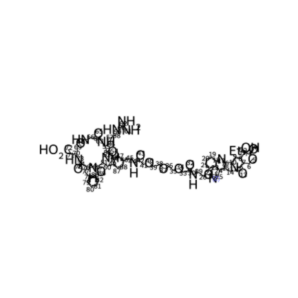 CC[C@@]1(O)C(=O)OCc2c1cc1n(c2=O)Cc2c-1nc1ccccc1c2/C=N\OCCNC(=O)COCCOCCOCC(=O)NCc1ccc(CC2NC(=O)C(CCCNC(=N)N)NC(=O)CNOCC(CC(=O)O)NC(=O)C(Cc3ccccc3)NC2=O)cc1